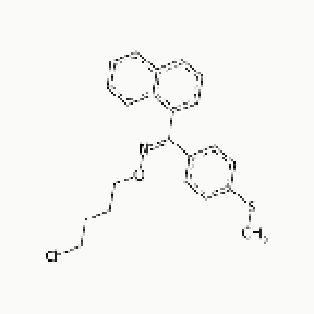 CSc1ccc(C(=NOCCCCCl)c2cccc3ccccc23)cc1